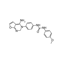 COc1ccc(NC(=O)Nc2ccc(N3CN=c4occc4=C3N)cc2)cc1